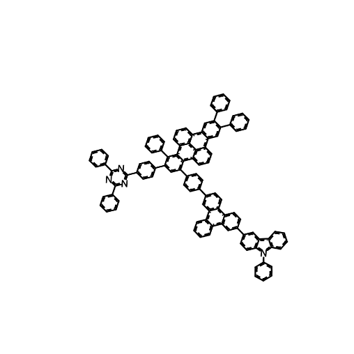 c1ccc(-c2nc(-c3ccccc3)nc(-c3ccc(-c4cc(-c5ccc(-c6ccc7c8ccc(-c9ccc%10c(c9)c9ccccc9n%10-c9ccccc9)cc8c8ccccc8c7c6)cc5)c5c6cccc7c8cc(-c9ccccc9)c(-c9ccccc9)cc8c8cccc(c5c4-c4ccccc4)c8c76)cc3)n2)cc1